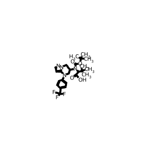 CC(C)(C)OC(=O)N(C1CN(c2ccc(C(F)(F)F)cc2)c2ccnn2C1)C(C(=O)O)C(C)(C)C